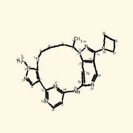 CC1CCCOc2c(cnn2C)-c2nccc(n2)Nc2cc3c(cn2)c(N2CCC2)nn31